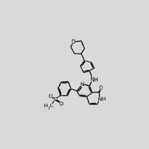 CS(=O)(=O)c1cccc(-c2cc3cc[nH]c(=O)c3c(Nc3ccc(C4CCOCC4)cc3)n2)c1